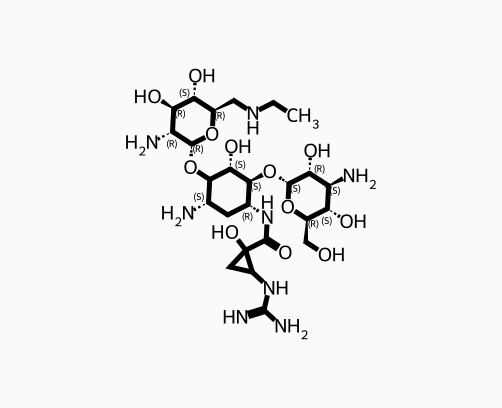 CCNC[C@H]1O[C@H](OC2[C@@H](N)C[C@@H](NC(=O)C3(O)CC3NC(=N)N)[C@H](O[C@H]3O[C@H](CO)[C@@H](O)[C@H](N)[C@H]3O)[C@H]2O)[C@H](N)[C@@H](O)[C@@H]1O